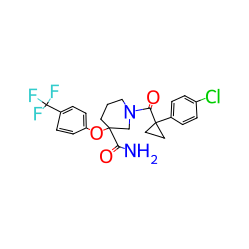 NC(=O)C1(Oc2ccc(C(F)(F)F)cc2)CCCN(C(=O)C2(c3ccc(Cl)cc3)CC2)C1